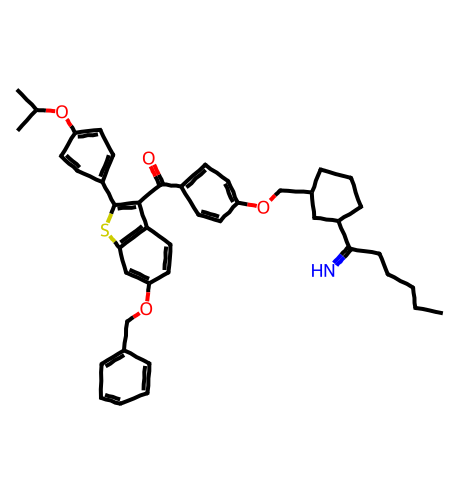 CCCCCC(=N)C1CCCC(COc2ccc(C(=O)c3c(-c4ccc(OC(C)C)cc4)sc4cc(OCc5ccccc5)ccc34)cc2)C1